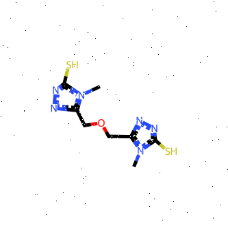 Cn1c(S)nnc1COCc1nnc(S)n1C